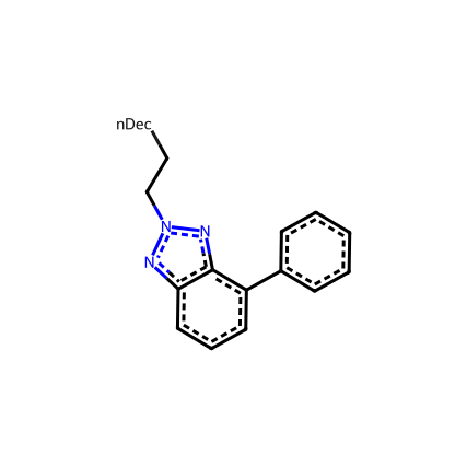 CCCCCCCCCCCCn1nc2cccc(-c3ccccc3)c2n1